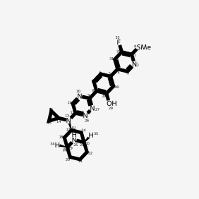 CSc1ncc(-c2ccc(-c3ncc(N(C4CC4)[C@@H]4C[C@H]5CCC[C@@H](C4)N5)nn3)c(O)c2)cc1F